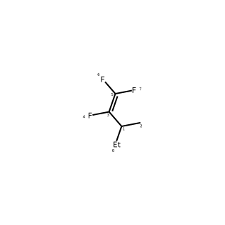 CCC(C)C(F)=C(F)F